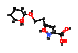 O=C(O)c1cc(CCOC2CCCCO2)on1